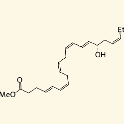 CC/C=C\C[C@H](O)/C=C/C=C\C/C=C\C/C=C\C=C\CCC(=O)OC